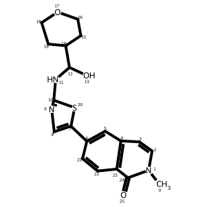 Cn1ccc2cc(-c3cnc(NC(O)C4CCOCC4)s3)ccc2c1=O